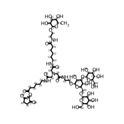 C[C@@H]1O[C@@H](OCCNC(=O)CCCCCNC(=O)CN(CC(=O)NCCCCCC(=O)ON2C(=O)CCC2=O)CC(=O)NCCO[C@H]2O[C@H](CO[C@H]3O[C@H](CO)[C@@H](O)[C@H](O)[C@@H]3O)[C@@H](O)[C@H](O[C@H]3O[C@H](CO)[C@@H](O)[C@H](O)[C@@H]3O)[C@@H]2O)[C@@H](O)[C@H](O)[C@@H]1O